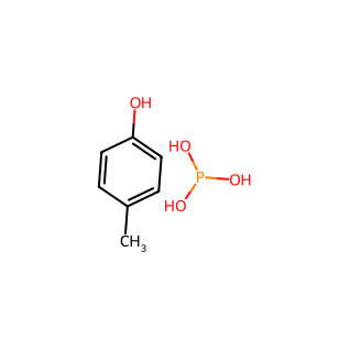 Cc1ccc(O)cc1.OP(O)O